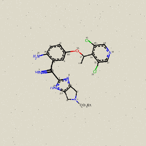 CCOC(=O)N1Cc2nc(C(=N)c3cc(OC(C)c4c(Cl)cncc4Cl)ccc3N)[nH]c2C1